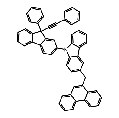 C(#CC1(c2ccccc2)c2ccccc2-c2ccc(-n3c4ccccc4c4cc(Cc5cc6ccccc6c6ccccc56)ccc43)cc21)c1ccccc1